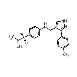 CN(C)S(=O)(=O)c1ccc(NCc2c[nH]nc2-c2ccc(C(F)(F)F)cc2)cc1